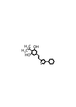 CC(C)c1c(O)cc(C=Cc2cc(-c3ccccc3)cs2)cc1O